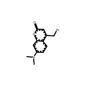 CC(=O)Cc1cc(=O)oc2cc(N(C)C)ccc12